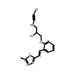 CCC#CNCC(O)COc1ccccc1C=Cc1nnc(C)s1